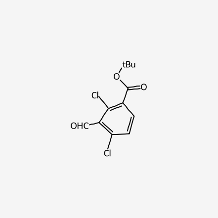 CC(C)(C)OC(=O)c1ccc(Cl)c(C=O)c1Cl